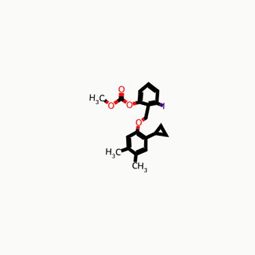 COC(=O)Oc1cccc(I)c1COc1cc(C)c(C)cc1C1CC1